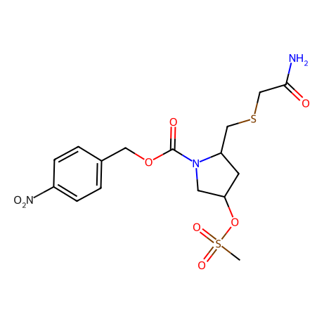 CS(=O)(=O)OC1CC(CSCC(N)=O)N(C(=O)OCc2ccc([N+](=O)[O-])cc2)C1